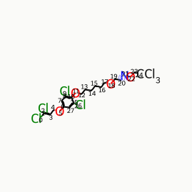 ClC(Cl)=CCOc1cc(Cl)c(OCCCCCCOC/C=N/OCC(Cl)(Cl)Cl)c(Cl)c1